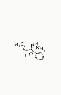 C=C/C=C\C(=N)C(N)(O)c1ccccc1